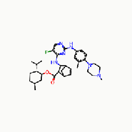 Cc1cc(Nc2ncc(F)c(NC3C4C=CC(C4)C3C(=O)OC3C[C@@H](C)CC[C@@H]3C(C)C)n2)ccc1N1CCN(C)CC1